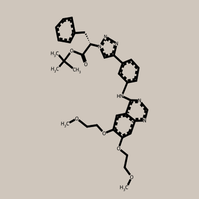 COCCOc1cc2ncnc(Nc3cccc(-c4cn([C@@H](Cc5ccccc5)C(=O)OC(C)(C)C)nn4)c3)c2cc1OCCOC